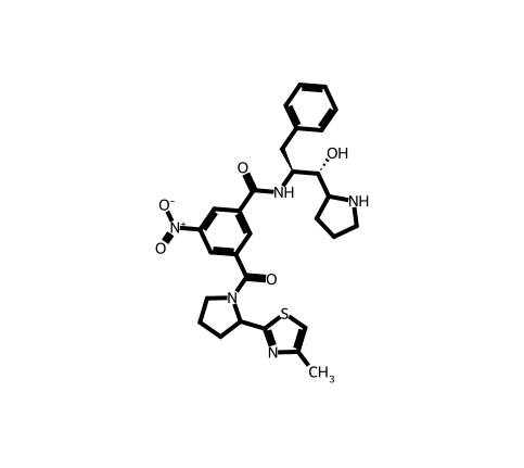 Cc1csc(C2CCCN2C(=O)c2cc(C(=O)N[C@@H](Cc3ccccc3)[C@H](O)C3CCCN3)cc([N+](=O)[O-])c2)n1